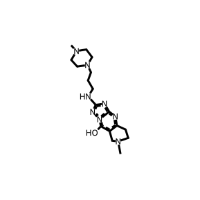 CN1CCN(CCCNc2nc3nc4c(c(O)n3n2)CN(C)CC4)CC1